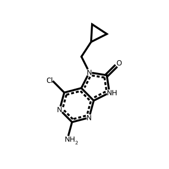 Nc1nc(Cl)c2c(n1)[nH]c(=O)n2CC1CC1